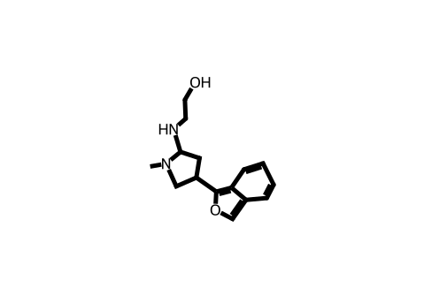 CN1CC(c2occ3ccccc23)CC1NCCO